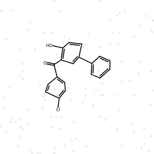 O=C(c1ccc(Cl)cc1)c1cc(-c2ccccc2)ccc1O